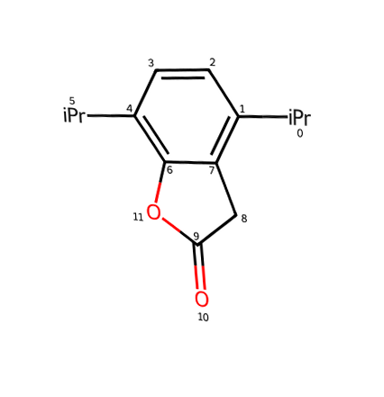 CC(C)c1ccc(C(C)C)c2c1CC(=O)O2